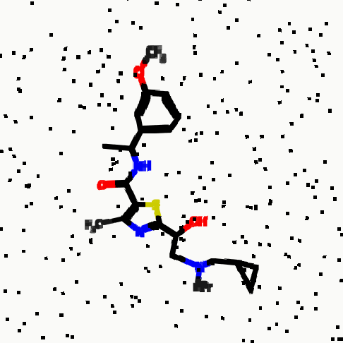 CCCN(CC1CC1)CC(O)c1nc(C(F)(F)F)c(C(=O)NC(C)c2cccc(OC(F)(F)F)c2)s1